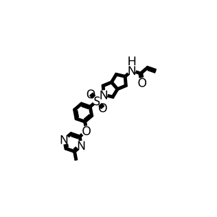 C=CC(=O)NC1CC2CN(S(=O)(=O)c3cccc(Oc4cncc(C)n4)c3)CC2C1